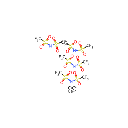 O=S(=O)([N-]S(=O)(=O)C(F)(F)F)C(F)(F)F.O=S(=O)([N-]S(=O)(=O)C(F)(F)F)C(F)(F)F.O=S(=O)([N-]S(=O)(=O)C(F)(F)F)C(F)(F)F.O=S(=O)([N-]S(=O)(=O)C(F)(F)F)C(F)(F)F.[Ca+2].[Ca+2]